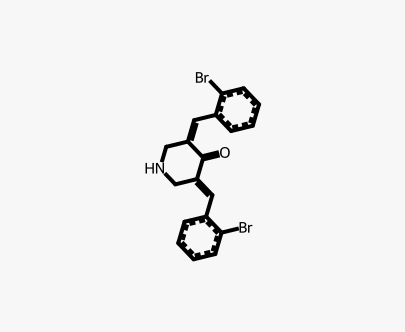 O=C1C(=Cc2ccccc2Br)CNCC1=Cc1ccccc1Br